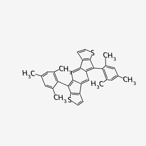 Cc1cc(C)c(C2=c3cc4c(cc3-c3ccsc32)=C(c2c(C)cc(C)cc2C)c2sccc2-4)c(C)c1